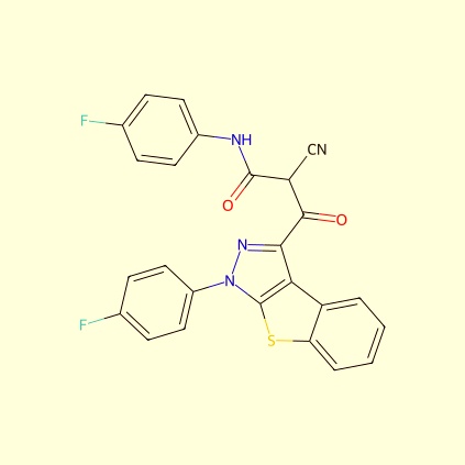 N#CC(C(=O)Nc1ccc(F)cc1)C(=O)c1nn(-c2ccc(F)cc2)c2sc3ccccc3c12